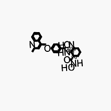 Cc1cc(COc2ccc(C(=O)N[C@H]3[C@@H](N)CCC[C@H]3C(=O)NO)cc2)c2ccccc2n1